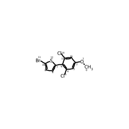 COc1cc(Cl)c(-c2ccc(Br)s2)c(Cl)c1